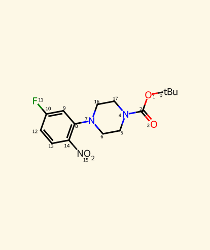 CC(C)(C)OC(=O)N1CCN(c2cc(F)ccc2[N+](=O)[O-])CC1